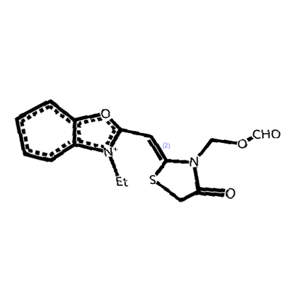 CC[n+]1c(/C=C2\SCC(=O)N2COC=O)oc2ccccc21